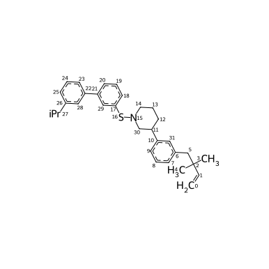 C=CC(C)(C)Cc1cccc(C2CCCN(Sc3cccc(-c4cccc(C(C)C)c4)c3)C2)c1